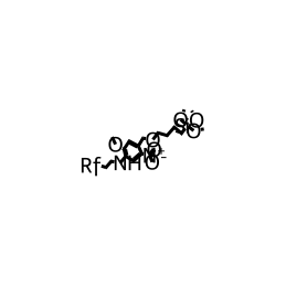 COc1cc(COCCCC[Si](OC)(OC)OC)c([N+](=O)[O-])cc1NC[CH2][Rf]